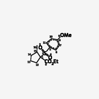 CCOC(=O)C1(S(=O)(=O)c2ccc(OC)cc2)CCCC1I